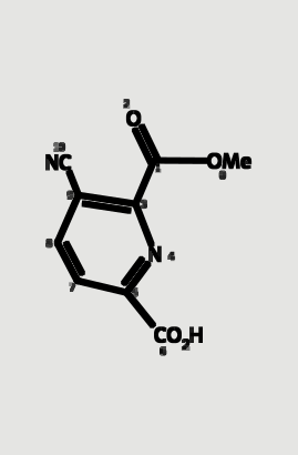 COC(=O)c1nc(C(=O)O)ccc1C#N